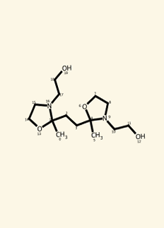 CC1(CCC2(C)OCCN2CCO)OCCN1CCO